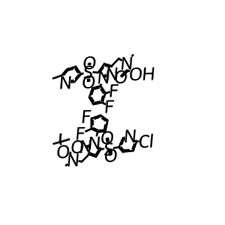 CN(Cc1cc(S(=O)(=O)c2ccc(Cl)nc2)n(-c2cccc(F)c2F)n1)C(=O)OC(C)(C)C.Cc1ccc(S(=O)(=O)c2cc(CN(C)C(=O)O)nn2-c2cccc(F)c2F)cn1